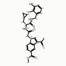 COC(=O)c1ccc2c(c1)c(C(C)=O)cn2CC(=O)N[C@@H](CC1CC1)C(=O)NCc1cccc(Cl)c1F